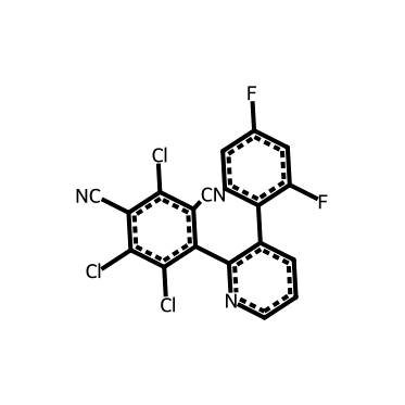 N#Cc1c(Cl)c(Cl)c(-c2ncccc2-c2ccc(F)cc2F)c(C#N)c1Cl